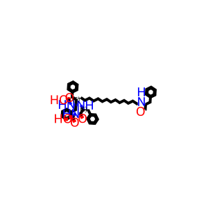 O=CC(Cc1ccccc1)NCCCCCCCCCCCCCC[C@@H](Cc1ccccc1)C(Cc1ccccc1)(NC(=O)O)N[C@@H](Cc1ccccc1)C(=O)NC(=O)O